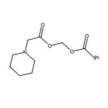 CC(C)C(=O)OCOC(=O)CN1CCCCC1